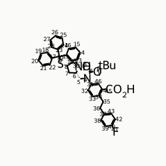 CC(C)(C)OC(=O)N(C[C@@H]1C[C@H](SC(c2ccccc2)(c2ccccc2)c2ccccc2)CN1)c1ccc(CCc2ccc(F)cc2)c(C(=O)O)c1